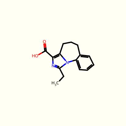 CCc1nc(C(=O)O)c2n1-c1ccccc1CCC2